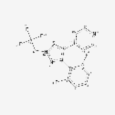 Fc1cccc(F)c1-c1nn(CC(F)(F)F)cc1-c1ccncc1